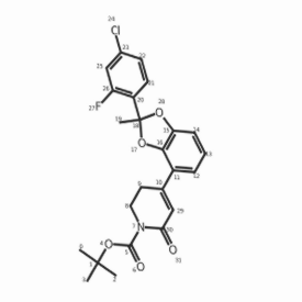 CC(C)(C)OC(=O)N1CCC(c2cccc3c2OC(C)(c2ccc(Cl)cc2F)O3)=CC1=O